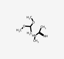 CNC(C)=N.COC(C)OC